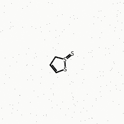 S=S1CC=CS1